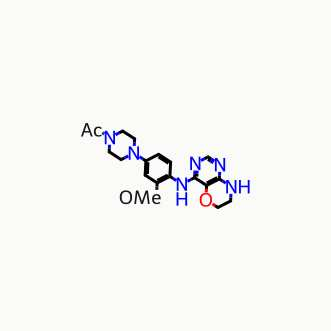 COc1cc(N2CCN(C(C)=O)CC2)ccc1Nc1ncnc2c1OCCN2